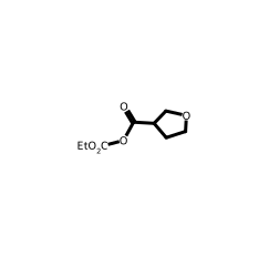 CCOC(=O)OC(=O)C1CCOC1